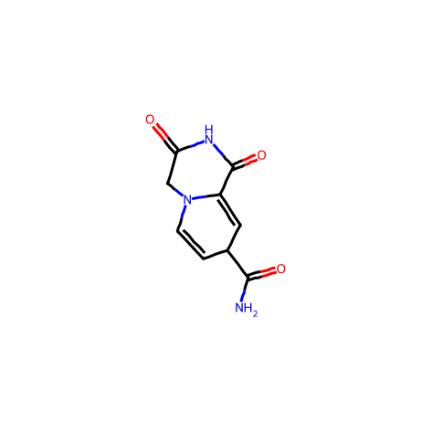 NC(=O)C1C=CN2CC(=O)NC(=O)C2=C1